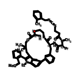 CCn1c(-c2cnccc2COC)c2c3cc(ccc31)-c1cccc(c1)C[C@H](NC(=O)[C@H](C(C)C)N(C)C(=O)CCN=C=NCc1ccccc1C)C(=O)N1CCC[C@H](N1)C(=O)OCC(C)(C)C2